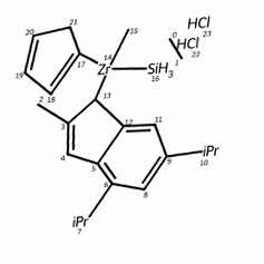 CC.CC1=Cc2c(C(C)C)cc(C(C)C)cc2[CH]1[Zr]([CH3])([SiH3])[C]1=CC=CC1.Cl.Cl